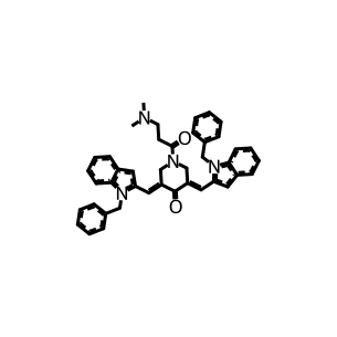 CN(C)CCC(=O)N1CC(=Cc2cc3ccccc3n2Cc2ccccc2)C(=O)C(=Cc2cc3ccccc3n2Cc2ccccc2)C1